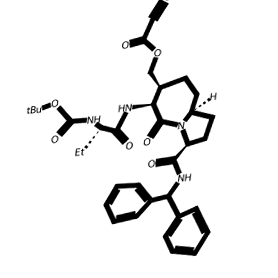 C#CC(=O)OC[C@H]1CC[C@H]2CC[C@@H](C(=O)NC(c3ccccc3)c3ccccc3)N2C(=O)[C@H]1NC(=O)[C@H](CC)NC(=O)OC(C)(C)C